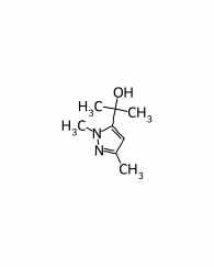 Cc1cc(C(C)(C)O)n(C)n1